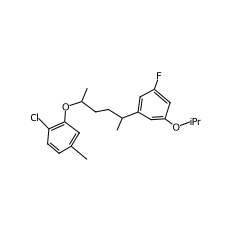 Cc1ccc(Cl)c(OC(C)CCC(C)c2cc(F)cc(OC(C)C)c2)c1